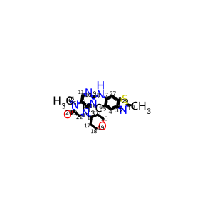 Cc1nc2cc(C)c(Nc3ncc4c(n3)N(C3CCOCC3)CC(=O)N4C)cc2s1